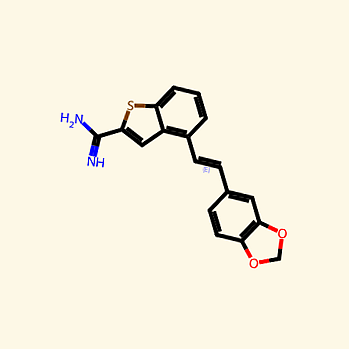 N=C(N)c1cc2c(/C=C/c3ccc4c(c3)OCO4)cccc2s1